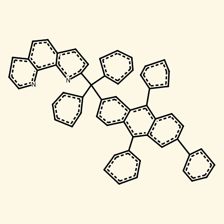 c1ccc(-c2ccc3c(-c4ccccc4)c4cc(C(c5ccccc5)(c5ccccc5)c5ccc6ccc7cccnc7c6n5)ccc4c(-c4ccccc4)c3c2)cc1